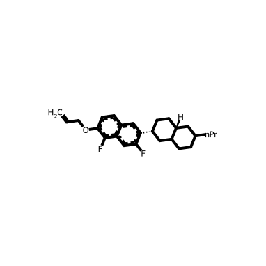 C=CCOc1ccc2cc([C@@H]3CC[C@@H]4CC(CCC)CCC4C3)c(F)cc2c1F